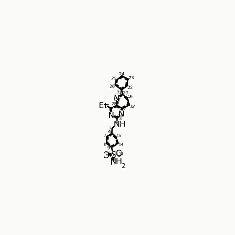 CCc1nc(NCc2ccc(S(N)(=O)=O)cc2)nc2ccc(-c3ccccc3)nc12